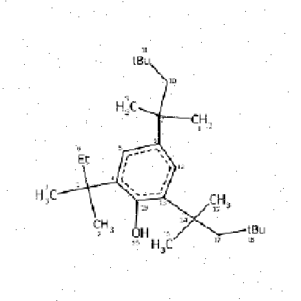 CCC(C)(C)c1cc(C(C)(C)CC(C)(C)C)cc(C(C)(C)CC(C)(C)C)c1O